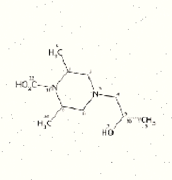 CC1CN(C[C@H](C)O)CC(C)N1C(=O)O